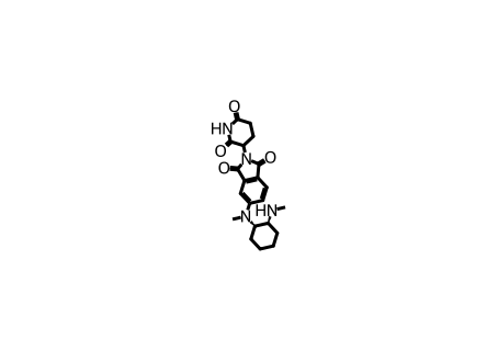 CN[C@H]1CCCC[C@H]1N(C)c1ccc2c(c1)C(=O)N(C1CCC(=O)NC1=O)C2=O